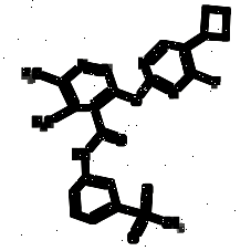 Cc1c(C(F)(F)F)nnc(Oc2ncc(C3CCC3)c(F)n2)c1C(=O)Nc1cccc(S(C)(=O)=O)c1